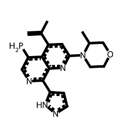 C=C(C)c1cc(N2CCOCC2C)nc2c(-c3ccn[nH]3)ncc(P)c12